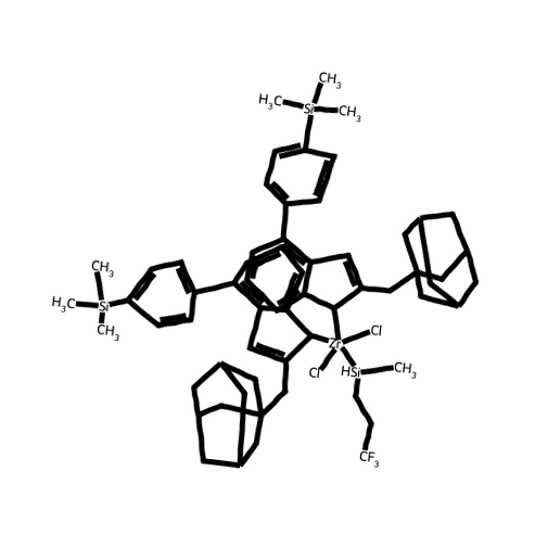 C[SiH](CCC(F)(F)F)[Zr]([Cl])([Cl])([CH]1C(CC23CC4CC(CC(C4)C2)C3)=Cc2c(-c3ccc([Si](C)(C)C)cc3)cccc21)[CH]1C(CC23CC4CC(CC(C4)C2)C3)=Cc2c(-c3ccc([Si](C)(C)C)cc3)cccc21